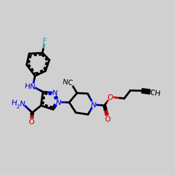 C#CCCOC(=O)N1CCC(n2cc(C(N)=O)c(Nc3ccc(F)cc3)n2)C(C#N)C1